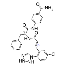 NC(=O)c1ccc(NC(=O)[C@H](Cc2ccccc2)NC(=O)/C=C/c2cc(Cl)ccc2N2C=NNN2)cc1